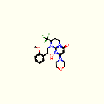 COc1ccccc1[C@@H](O)CN1c2nc(N3CCOCC3)cc(=O)n2CCC1C(F)(F)F